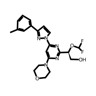 Cc1cccc(-c2ccn(-c3cc(N4CCOCC4)nc([C@H](CO)OC(F)F)n3)n2)c1